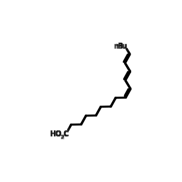 CCCCC=C/C=C/C=C\CCCCCCCC(=O)O